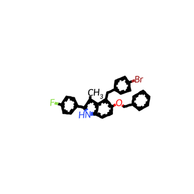 Cc1c(-c2ccc(F)cc2)[nH]c2ccc(OCc3ccccc3)c(Cc3ccc(Br)cc3)c12